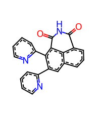 O=C1NC(=O)c2c(-c3ccccn3)c(-c3ccccn3)cc3cccc1c23